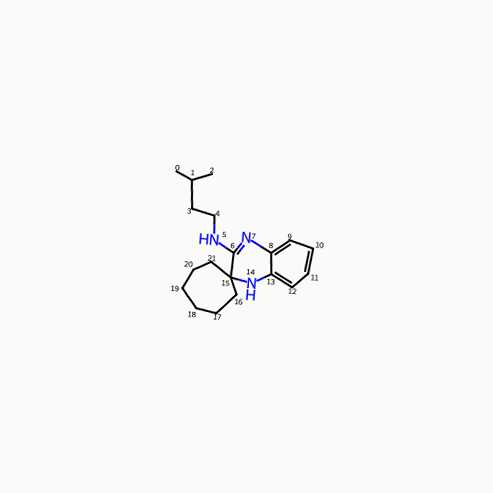 CC(C)CCNC1=Nc2ccccc2NC12CCCCCC2